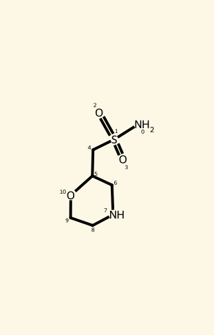 NS(=O)(=O)CC1CNCCO1